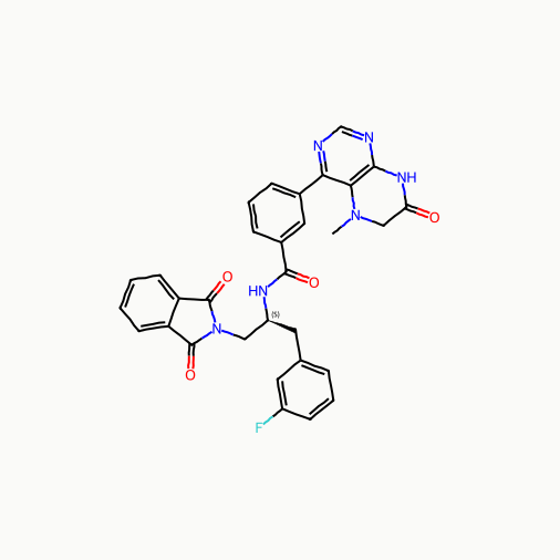 CN1CC(=O)Nc2ncnc(-c3cccc(C(=O)N[C@@H](Cc4cccc(F)c4)CN4C(=O)c5ccccc5C4=O)c3)c21